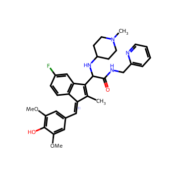 COc1cc(/C=C2/C(C)=C(C(NC3CCN(C)CC3)C(=O)NCc3ccccn3)c3cc(F)ccc32)cc(OC)c1O